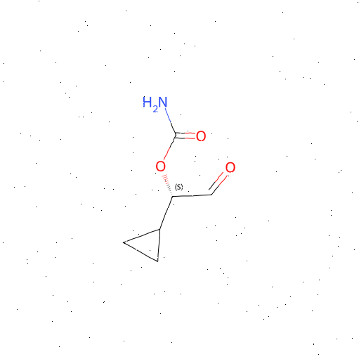 NC(=O)O[C@H](C=O)C1CC1